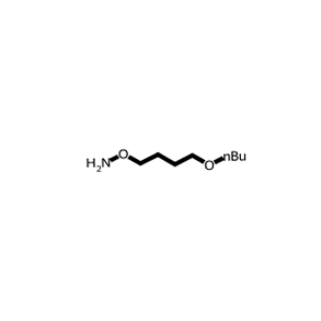 CCCCOCCCCON